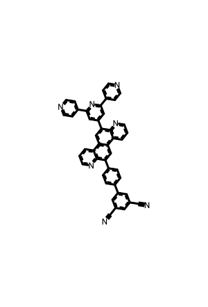 N#Cc1cc(C#N)cc(-c2ccc(-c3cc4c5cccnc5c(-c5cc(-c6ccncc6)nc(-c6ccncc6)c5)cc4c4cccnc34)cc2)c1